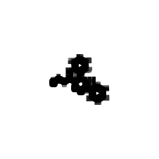 O=[C]CNC(=O)N(NC(=O)c1ccccc1)c1ccccc1